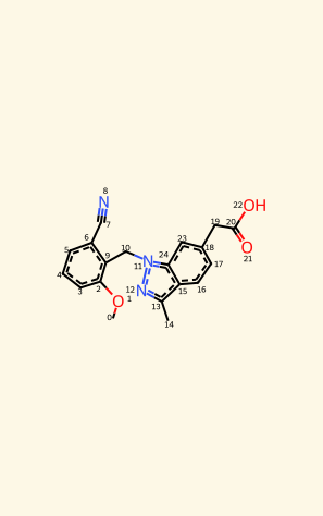 COc1cccc(C#N)c1Cn1nc(C)c2ccc(CC(=O)O)cc21